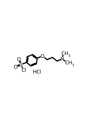 CN(C)CCCOc1ccc(S(=O)(=O)Cl)cc1.Cl